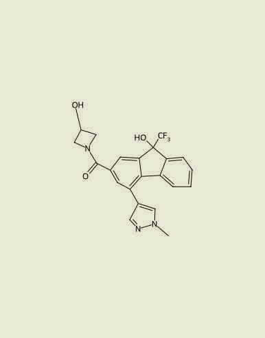 Cn1cc(-c2cc(C(=O)N3CC(O)C3)cc3c2-c2ccccc2C3(O)C(F)(F)F)cn1